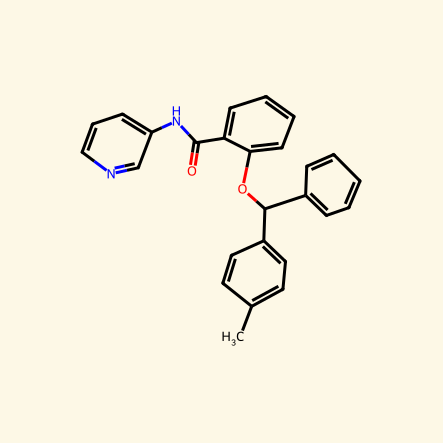 Cc1ccc(C(Oc2ccccc2C(=O)Nc2cccnc2)c2ccccc2)cc1